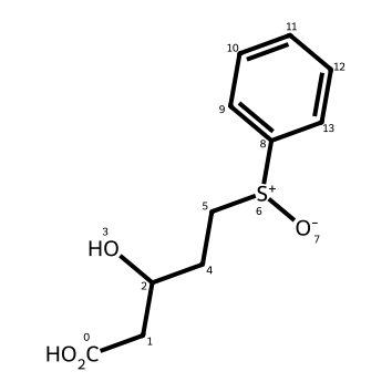 O=C(O)CC(O)CC[S+]([O-])c1ccccc1